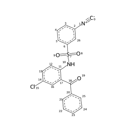 [C-]#[N+]c1cccc(S(=O)(=O)Nc2ccc(Cl)cc2C(=O)c2ccccc2)c1